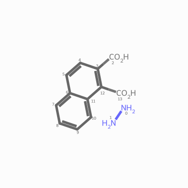 NN.O=C(O)c1ccc2ccccc2c1C(=O)O